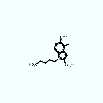 CCOC(=O)c1cc2c(Cl)c(OC)ccc2n1CCCCC(=O)O